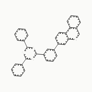 c1ccc(-c2nc(-c3ccccc3)nc(-c3cccc(-c4ccc5c(c4)ncc4ccccc45)c3)n2)cc1